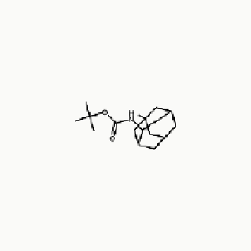 CC12CC3CC(C1)C(NC(=O)OC(C)(C)C)C(C3)C2